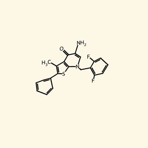 Cc1c(-c2ccccc2)sc2c1c(=O)c(N)cn2Cc1c(F)cccc1F